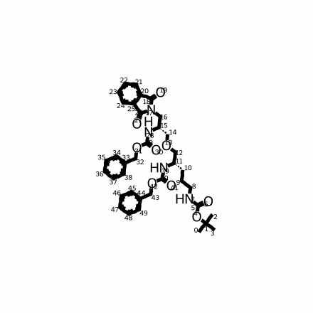 CC(C)(C)OC(=O)NCCC[C@@H](COC[C@@H](CN1C(=O)c2ccccc2C1=O)NC(=O)OCc1ccccc1)NC(=O)OCc1ccccc1